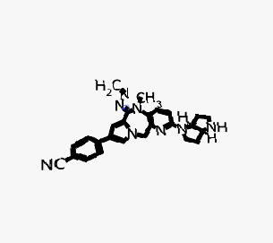 C=N/N=C1/c2cc(-c3ccc(C#N)cc3)cn2Cc2nc(N3CC[C@H]4NCC[C@@H]43)ccc2N1C